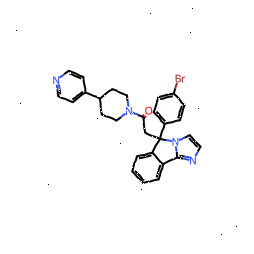 O=C(CC1(c2ccc(Br)cc2)c2ccccc2-c2nccn21)N1CCC(c2ccncc2)CC1